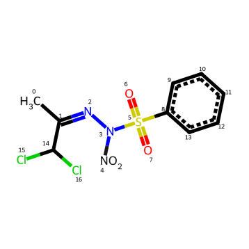 CC(=NN([N+](=O)[O-])S(=O)(=O)c1ccccc1)C(Cl)Cl